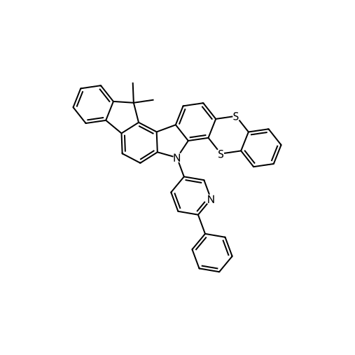 CC1(C)c2ccccc2-c2ccc3c(c21)c1ccc2c(c1n3-c1ccc(-c3ccccc3)nc1)Sc1ccccc1S2